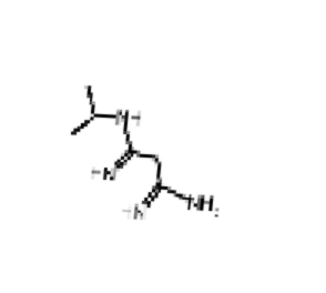 CC(C)NC(=N)CC(=N)N